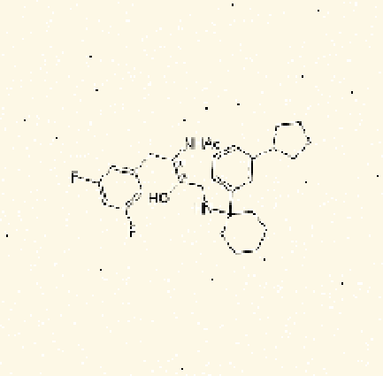 CC(=O)N[C@@H](Cc1cc(F)cc(F)c1)[C@@H](O)CNC1(c2cccc(C3CCCC3)c2)CCCCC1